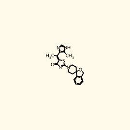 C/C(=C1/SC(N2CCC3(CC2)OCc2ccccc23)=NC1=O)c1nc[nH]c1C